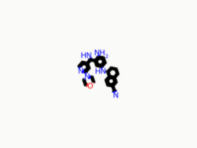 N#Cc1ccc2c(c1)CCC[C@H]2Nc1ccc(N)c(C(=N)c2ccnc(N3CCOCC3)c2)c1